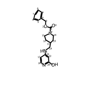 O=C(OCc1ccccc1)N1CCC(CNc2ccnc(O)c2)CC1